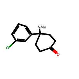 CNC1(c2cccc(Cl)c2)CCC(=O)CC1